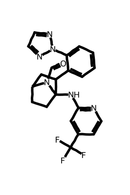 O=CN1C2CCC1(Nc1cc(C(F)(F)F)ccn1)C(c1ccccc1-n1nccn1)C2